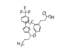 CCCC(Oc1ccc(CCC(=O)O)c(C)c1)c1ccc(-c2ccc(C(F)(F)F)cc2)s1